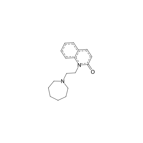 O=c1ccc2ccccc2n1CCN1CCCCCC1